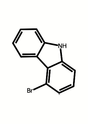 Brc1[c]ccc2[nH]c3ccccc3c12